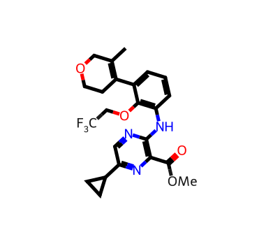 COC(=O)c1nc(C2CC2)cnc1Nc1cccc(C2=C(C)COCC2)c1OCC(F)(F)F